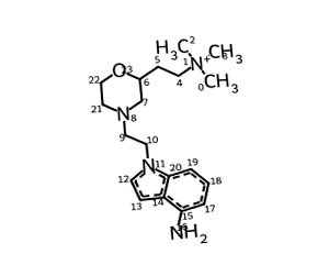 C[N+](C)(C)CCC1CN(CCn2ccc3c(N)cccc32)CCO1